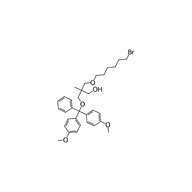 COc1ccc(C(OCC(C)(CO)COCCCCCCBr)(c2ccccc2)c2ccc(OC)cc2)cc1